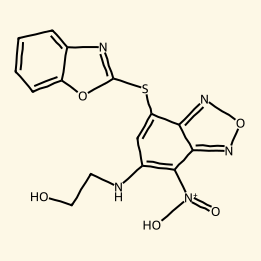 O=[N+](O)c1c(NCCO)cc(Sc2nc3ccccc3o2)c2nonc12